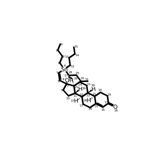 CCC[CH2][Sn](/[CH]=C\[C@]1(O)CC[C@H]2[C@@H]3CCC4=CC(=O)CC[C@@H]4[C@H]3CC[C@@]21CC)([CH2]CCC)[CH2]CCC